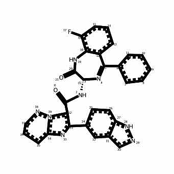 O=C(N[C@H]1N=C(c2ccccc2)c2cccc(F)c2NC1=O)c1c(-c2ccc3[nH]ncc3c2)nc2cccnn12